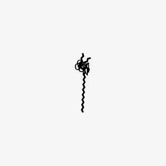 CCCCCCCCCCCCCCCCN1C=CN(CC)C1OP(=O)(OCCCC)OCCCC